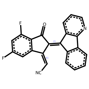 N#C/C=C1/C(=C2\c3ccccc3-c3ncccc32)C(=O)c2c(F)cc(F)cc21